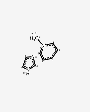 C[n+]1ccccc1.[I-].c1c[nH]cn1